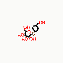 OCc1ccc(S[C@@H]2O[C@H](CO)[C@@H](O)[C@H](O)[C@H]2O)cc1